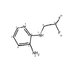 Nc1cccnc1NCC(F)F